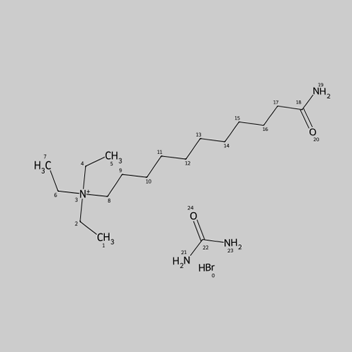 Br.CC[N+](CC)(CC)CCCCCCCCCCC(N)=O.NC(N)=O